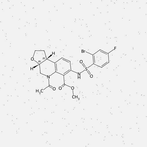 COC(=O)c1c(NS(=O)(=O)c2ccc(F)cc2Br)ccc2c1N(C(C)=O)C[C@@H]1OCC[C@H]21